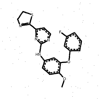 COc1ccc(Nc2nccc(C3=NCCS3)n2)cc1Oc1cccc(F)c1